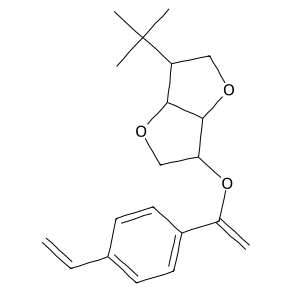 C=Cc1ccc(C(=C)OC2COC3C2OCC3C(C)(C)C)cc1